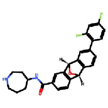 O=C(NC1CCCNCC1)c1ccc2c(c1)[C@@H]1O[C@H]2c2ccc(-c3ccc(F)cc3F)cc21